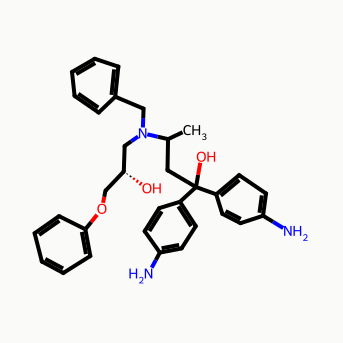 CC(CC(O)(c1ccc(N)cc1)c1ccc(N)cc1)N(Cc1ccccc1)C[C@H](O)COc1ccccc1